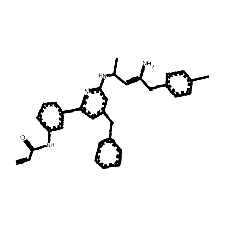 C=CC(=O)Nc1cccc(-c2cc(Cc3ccccc3)cc(NC(C)/C=C(\N)Cc3ccc(C)cc3)n2)c1